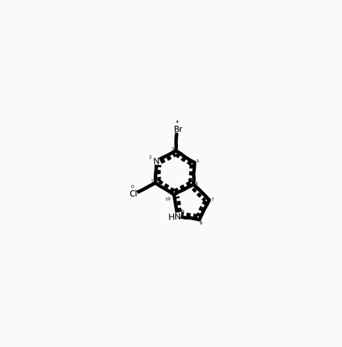 Clc1nc(Br)cc2cc[nH]c12